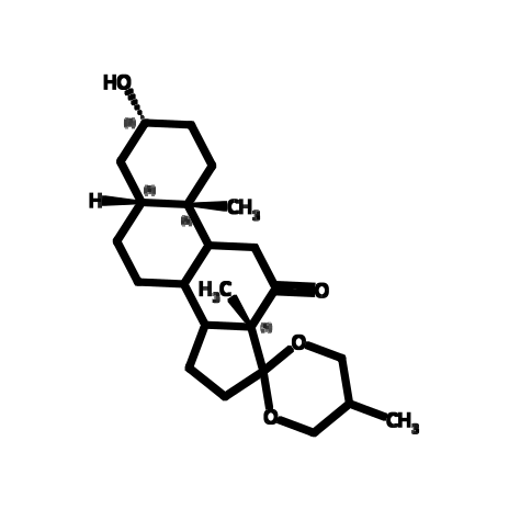 CC1COC2(CCC3C4CC[C@@H]5C[C@H](O)CC[C@]5(C)C4CC(=O)[C@@]32C)OC1